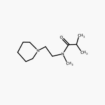 CC(C)C(=O)N(C)CCN1CCCCC1